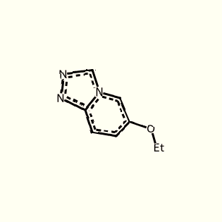 CCOc1ccc2nn[c]n2c1